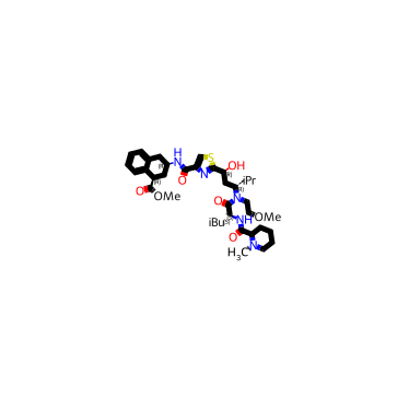 CC[C@H](C)[C@H](NC(=O)C1CCCCN1C)C(=O)N(CCOC)[C@H](C[C@@H](O)c1nc(C(=O)N[C@H]2Cc3ccccc3[C@H](C(=O)OC)C2)cs1)C(C)C